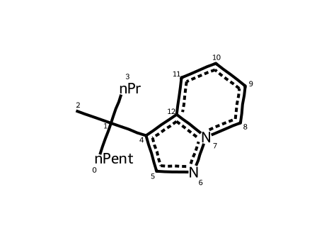 CCCCCC(C)(CCC)c1cnn2ccccc12